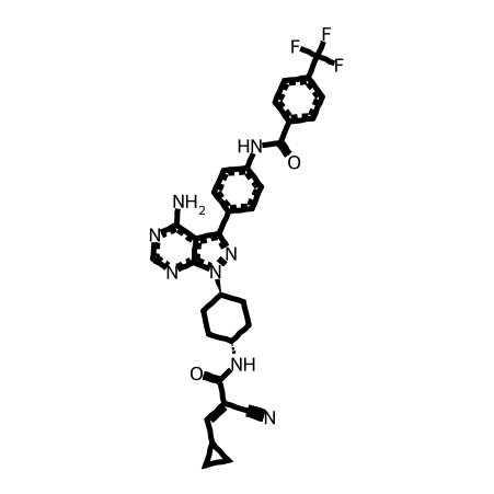 N#CC(=CC1CC1)C(=O)N[C@H]1CC[C@H](n2nc(-c3ccc(NC(=O)c4ccc(C(F)(F)F)cc4)cc3)c3c(N)ncnc32)CC1